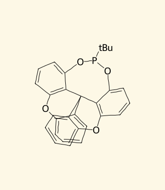 CC(C)(C)P1Oc2cccc3c2C2(c4ccccc4O3)c3ccccc3Oc3cccc(c32)O1